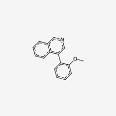 COc1ccccc1-c1cncc2ccccc12